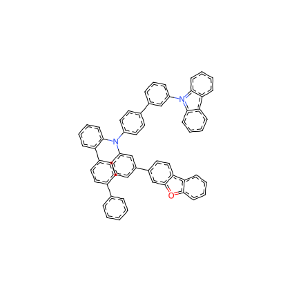 c1ccc(-c2ccc(-c3ccccc3N(c3ccc(-c4cccc(-n5c6ccccc6c6ccccc65)c4)cc3)c3cccc(-c4ccc5c(c4)oc4ccccc45)c3)cc2)cc1